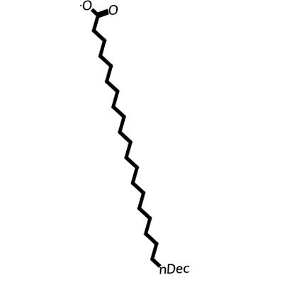 CCCCCCCCCCCCCCCCCCCCCCCCCCCCCC([O])=O